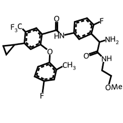 COCCNC(=O)C(N)c1cc(NC(=O)c2cc(C(F)(F)F)c(C3CC3)cc2Oc2ccc(F)cc2C)ccc1F